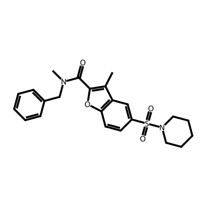 Cc1c(C(=O)N(C)Cc2ccccc2)oc2ccc(S(=O)(=O)N3CCCCC3)cc12